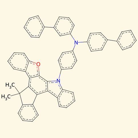 CC1(C)c2ccccc2-c2c1c1c3ccccc3oc1c1c2c2ccccc2n1-c1ccc(N(c2ccc(-c3ccccc3)cc2)c2cccc(-c3ccccc3)c2)cc1